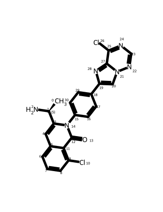 C[C@H](N)c1cc2cccc(Cl)c2c(=O)n1-c1ccc(-c2cn3ncnc(Cl)c3n2)cc1